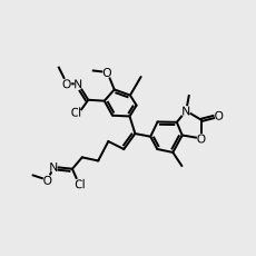 CO/N=C(\Cl)CCC/C=C(\c1cc(C)c(OC)c(/C(Cl)=N/OC)c1)c1cc(C)c2oc(=O)n(C)c2c1